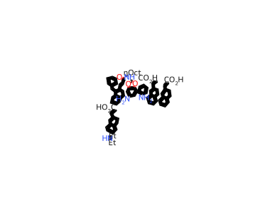 CCCCCCCCNC(=O)C=CC1=C(Cc2ccccc2)c2ccccc2CC1.CCNCC.Nc1ccc2c(c1)OCO2.Nc1ccccc1.O=C(O)C=CC1=Cc2ccccc2CC1.O=C(O)C=CC1=Cc2ccccc2CC1.O=C(O)C=CC1=Cc2ccccc2CC1